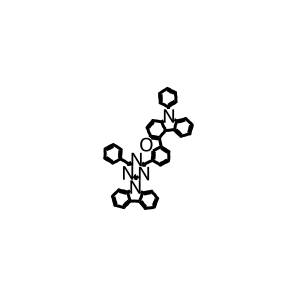 C1=CC2C(c3ccccc3N2c2ccccc2)c2c1oc1c(-c3nc(-c4ccccc4)nc(-n4c5ccccc5c5ccccc54)n3)cccc21